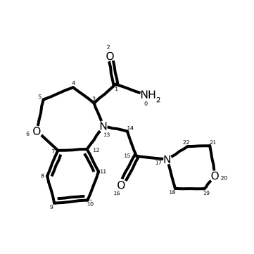 NC(=O)C1CCOc2cc[c]cc2N1CC(=O)N1CCOCC1